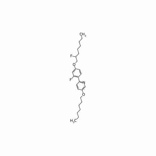 CCCCCCCOc1ccc(-c2ccc(OCC(F)CCCCCC)cc2F)nc1